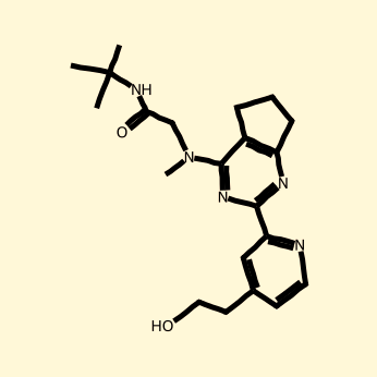 CN(CC(=O)NC(C)(C)C)c1nc(-c2cc(CCO)ccn2)nc2c1CCC2